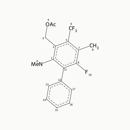 CNc1c(COC(C)=O)c(C(F)(F)F)c(C)c(F)c1-c1ccccc1